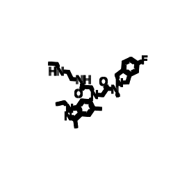 CCNCCNC(=O)CN(CC(=O)N(C)N1Cc2ccc(F)cc2C1)c1cc2c(cc1C)c(C)nn2CC